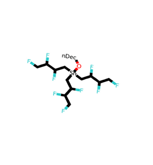 CCCCCCCCCC[O][Sn]([CH2]C(F)C(F)CF)([CH2]C(F)C(F)CF)[CH2]C(F)C(F)CF